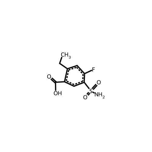 CCc1cc(F)c(S(N)(=O)=O)cc1C(=O)O